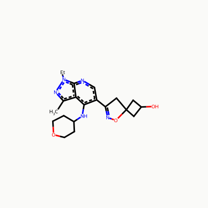 CCn1nc(C)c2c(NC3CCOCC3)c(C3=NOC4(C3)CC(O)C4)cnc21